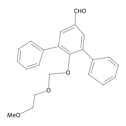 COCCOCOc1c(-c2ccccc2)cc(C=O)cc1-c1ccccc1